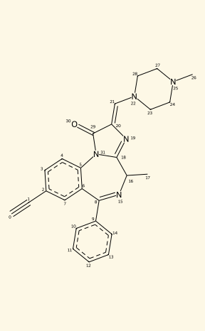 C#Cc1ccc2c(c1)C(c1ccccc1)=NC(C)C1=N/C(=C\N3CCN(C)CC3)C(=O)N12